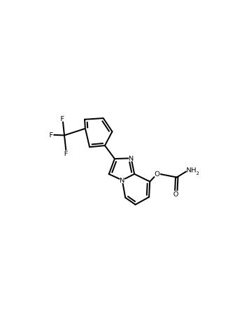 NC(=O)Oc1cccn2cc(-c3cccc(C(F)(F)F)c3)nc12